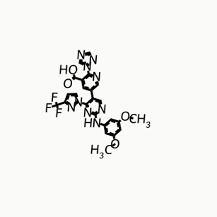 COc1cc(Nc2ncc(-c3cnc(-n4cncn4)c(C(=O)O)c3)c(-n3ccc(C(F)(F)F)n3)n2)cc(OC)c1